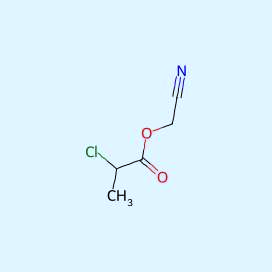 CC(Cl)C(=O)OCC#N